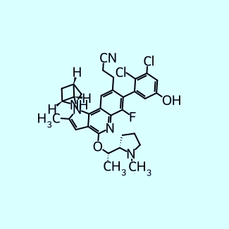 Cc1cc2c(O[C@@H](C)[C@@H]3CCCN3C)nc3c(F)c(-c4cc(O)cc(Cl)c4Cl)c(CCC#N)cc3c2n1[C@H]1[C@H]2CN[C@@H]1C2